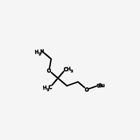 CC(C)(C)OCCC(C)(C)OCN